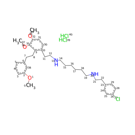 COc1cccc(CCc2c(CCNCCCCCCNCCc3ccc(Cl)cc3)ccc(OC)c2OC)c1.Cl.Cl